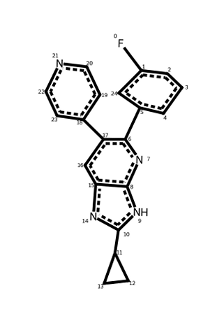 Fc1cccc(-c2nc3[nH]c(C4CC4)nc3cc2-c2ccncc2)c1